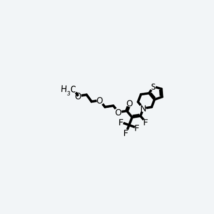 COCCOCCOC(=O)/C(=C(/F)N1CCc2sccc2C1)C(F)(F)F